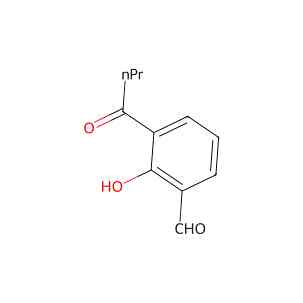 CCCC(=O)c1cccc(C=O)c1O